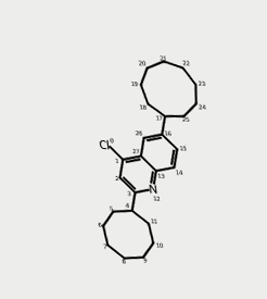 Clc1cc(C2CCCCCCC2)nc2ccc(C3CCCCCCCC3)cc12